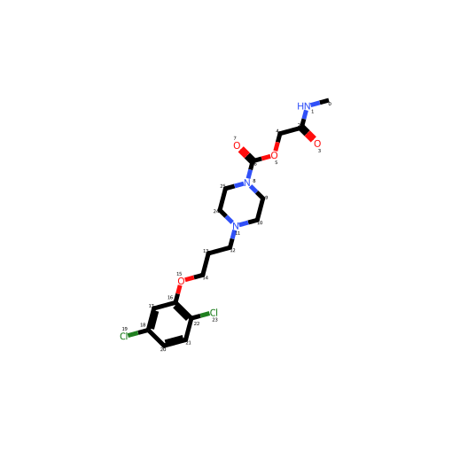 CNC(=O)COC(=O)N1CCN(CCCOc2cc(Cl)ccc2Cl)CC1